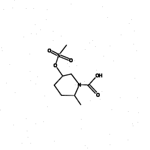 CC1CCC(OS(C)(=O)=O)CN1C(=O)O